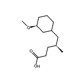 CO[C@H]1CCCC(C[C@@H](C)CCC(=O)O)C1